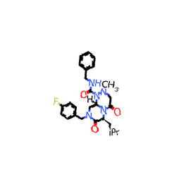 CC(C)C[C@H]1C(=O)N(Cc2ccc(F)cc2)C[C@H]2N1C(=O)CN(C)N2C(=O)NCc1ccccc1